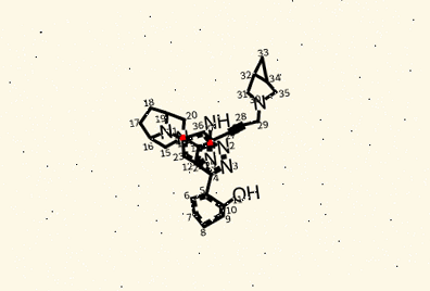 Nc1nnc(-c2ccccc2O)cc1N1CC2CCC(C1)N2c1ccnc(C#CCN2CC3CC3C2)c1